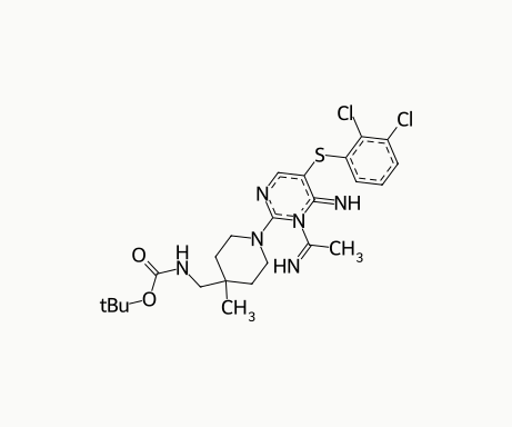 CC(=N)n1c(N2CCC(C)(CNC(=O)OC(C)(C)C)CC2)ncc(Sc2cccc(Cl)c2Cl)c1=N